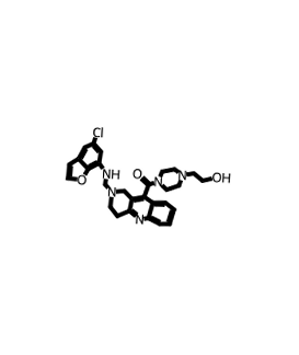 O=C(c1c2c(nc3ccccc13)CCN(CNc1cc(Cl)cc3ccoc13)C2)N1CCN(CCO)CC1